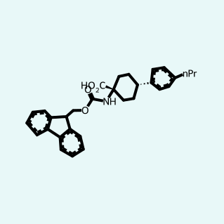 CCCc1ccc([C@H]2CC[C@](NC(=O)OCC3c4ccccc4-c4ccccc43)(C(=O)O)CC2)cc1